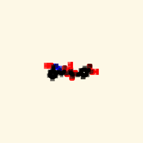 O=C(Cc1nnc(O)c2ccccc12)OC(O)C(=O)OCC1CCC(C(=O)O)CC1